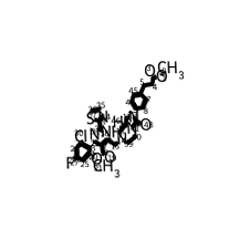 COC(=O)CCc1ccc(N2C[C@@H]3CN(CC4=C(C(=O)OC)[C@H](c5ccc(F)cc5Cl)N=C(c5nccs5)N4)CCN3C2=O)cc1